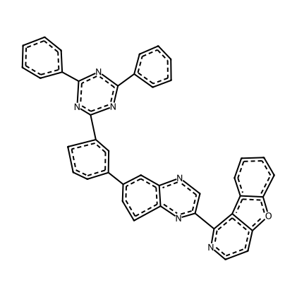 c1ccc(-c2nc(-c3ccccc3)nc(-c3cccc(-c4ccc5nc(-c6nccc7oc8ccccc8c67)cnc5c4)c3)n2)cc1